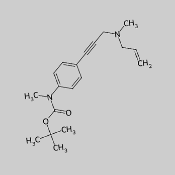 C=CCN(C)CC#Cc1ccc(N(C)C(=O)OC(C)(C)C)cc1